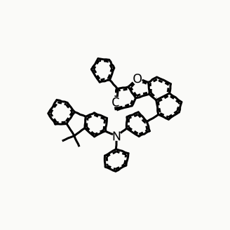 CC1(C)c2ccccc2-c2ccc(N(c3ccccc3)c3ccc(-c4cccc5ccc6oc7c(-c8ccccc8)cccc7c6c45)cc3)cc21